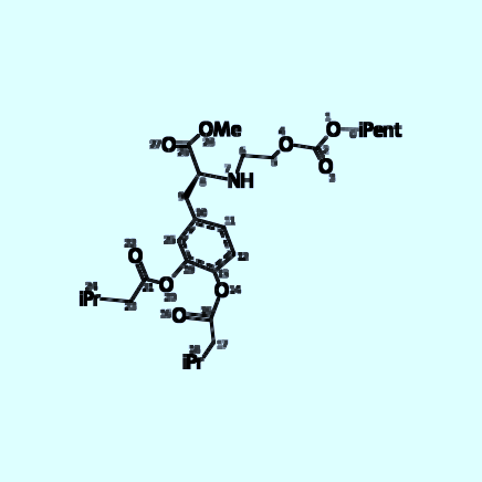 CCCC(C)OC(=O)OCCN[C@@H](Cc1ccc(OC(=O)CC(C)C)c(OC(=O)CC(C)C)c1)C(=O)OC